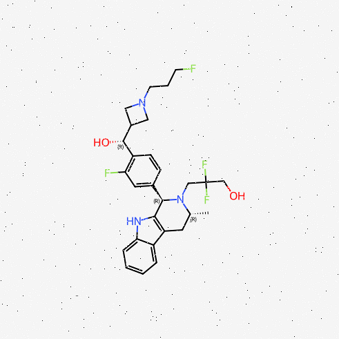 C[C@@H]1Cc2c([nH]c3ccccc23)[C@@H](c2ccc([C@H](O)C3CN(CCCF)C3)c(F)c2)N1CC(F)(F)CO